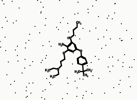 CCCCNc1cc(Oc2ccc(C(C)(C)C)cc2)cc(OCCCN(CC)CC)c1N